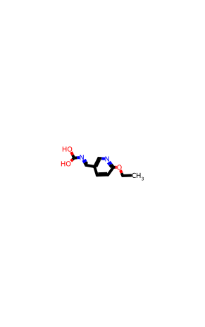 CCOc1ccc(C=NC(O)O)cn1